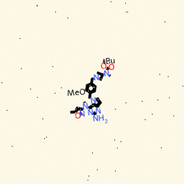 COc1cc(CN2CC(N(C)C(=O)OC(C)(C)C)C2)ccc1Cn1ccc2nc(N)nc(N(C)c3cc(C)on3)c21